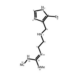 CCc1[nH]cnc1CNCCN=C(NC)NC#N